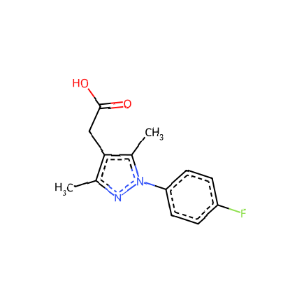 Cc1nn(-c2ccc(F)cc2)c(C)c1CC(=O)O